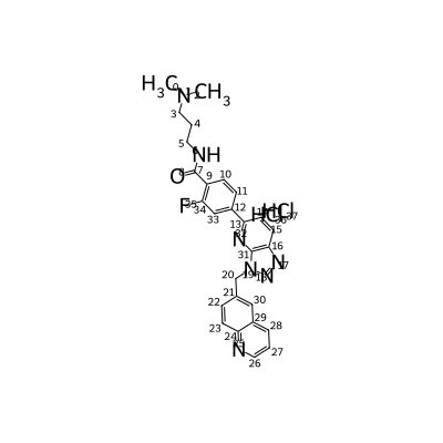 CN(C)CCCNC(=O)c1ccc(-c2ccc3nnn(Cc4ccc5ncccc5c4)c3n2)cc1F.Cl.Cl